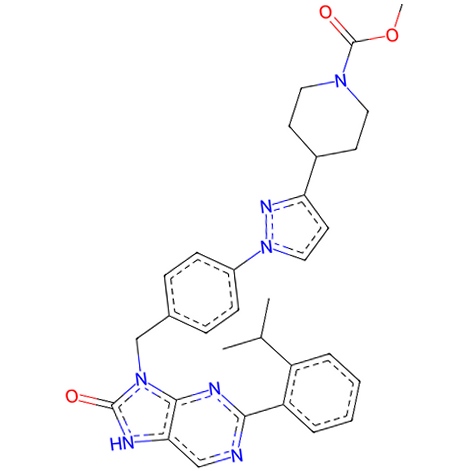 COC(=O)N1CCC(c2ccn(-c3ccc(Cn4c(=O)[nH]c5cnc(-c6ccccc6C(C)C)nc54)cc3)n2)CC1